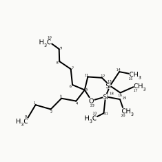 CCCCCC1(CCCCC)CC[Si](CC)(CC)[Si](CC)(CC)O1